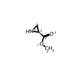 COC(=O)[C@@H]1CN1